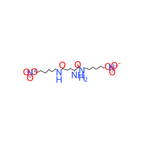 NC(CCC(=O)NCCCCCCO[N+](=O)[O-])C(=O)NCCCCCCO[N+](=O)[O-]